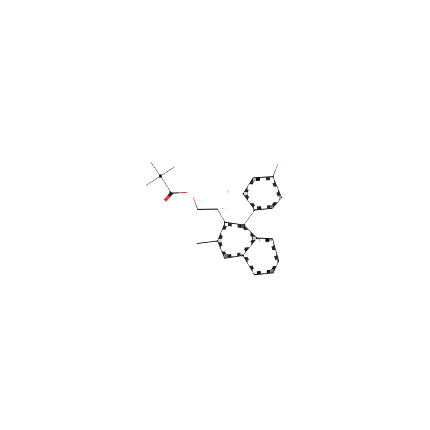 Cc1cc2ccccc2c(-c2ccc(Cl)cc2)c1[C@@H](O)COC(=O)C(C)(C)C